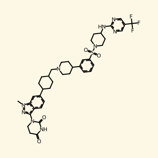 Cn1nc(N2CCC(=O)NC2=O)c2ccc(C3CCC(CN4CCC(c5cccc(S(=O)(=O)N6CCC(Nc7ncc(C(F)(F)F)cn7)CC6)c5)CC4)CC3)cc21